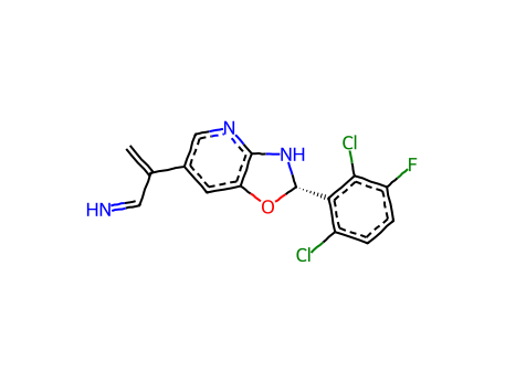 C=C(C=N)c1cnc2c(c1)O[C@@H](c1c(Cl)ccc(F)c1Cl)N2